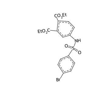 CCOC(=O)c1ccc(NS(=O)(=O)c2ccc(Br)cc2)cc1C(=O)OCC